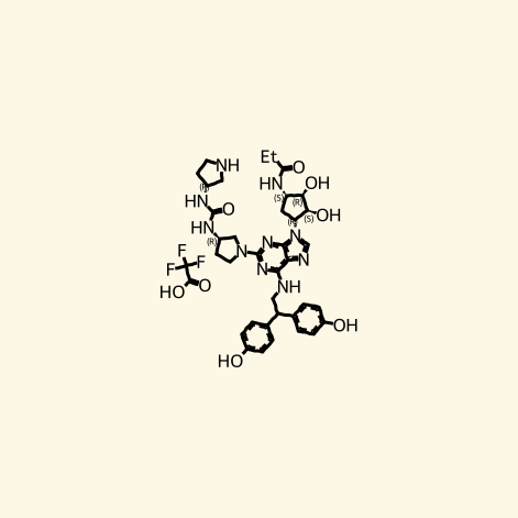 CCC(=O)N[C@H]1C[C@@H](n2cnc3c(NCC(c4ccc(O)cc4)c4ccc(O)cc4)nc(N4CC[C@@H](NC(=O)N[C@@H]5CCNC5)C4)nc32)[C@H](O)[C@@H]1O.O=C(O)C(F)(F)F